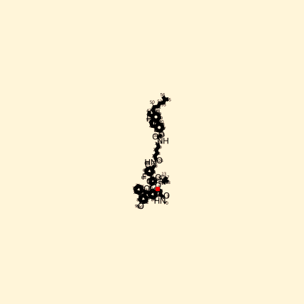 CNC(=O)CCC(=O)OC1C(O[Si](C)(C)C(C)(C)C)[C@H](c2cc(CNC(=O)CCCCCNC(=O)O[C@H]3CC[C@@]4(C)C(CCC5[C@@H]6CC[C@H]([C@H](C)CCCC(C)C)[C@@]6(C)CC[C@@]54I)C3)c(F)cc2F)O[C@@H]1COC(c1ccccc1)(c1ccccc1)c1ccc(OC)cc1